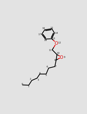 CCCCCCCCC1OC1COc1ccccc1